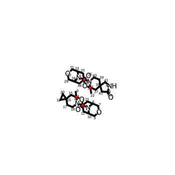 CCOC(=O)N1C2COCC1CC(N1CCC3(CC1)CC3)C2.CCOC(=O)N1C2COCC1CC(N1CCC3(CC1)CNC(=O)C3)C2